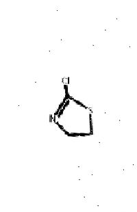 ClC1=N[C]CS1